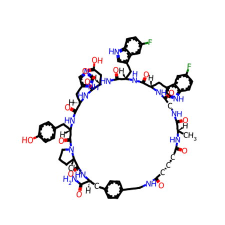 C[C@@H]1NC(=O)CCCC(=O)NCc2ccc(cc2)C[C@@H](C(N)=O)NC(=O)[C@]2(C)CCCN2C(=O)[C@H](Cc2ccc(O)cc2)NC(=O)[C@@H](Cc2cnc[nH]2)NC(=O)[C@H](CC(=O)O)NC(=O)[C@H](Cc2c[nH]c3ccc(F)cc23)NC(=O)[C@H](Cc2c[nH]c3ccc(F)cc23)NC(=O)CNC1=O